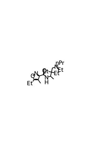 CCCN(CC)CC(CC)(CC)C(C)NC(=O)c1noc(CC)c1C